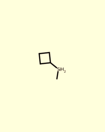 C[SiH2]C1CCC1